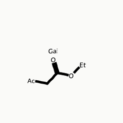 CCOC(=O)CC(C)=O.[Ga]